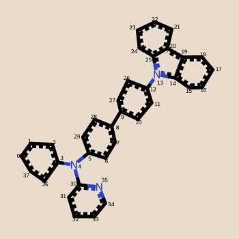 c1ccc(N(c2ccc(-c3ccc(-n4c5ccccc5c5ccccc54)cc3)cc2)c2ccccn2)cc1